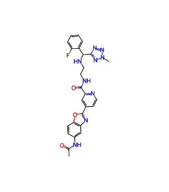 CC(=O)Nc1ccc2oc(-c3ccnc(C(=O)NCCNC(c4nnn(C)n4)c4ccccc4F)c3)nc2c1